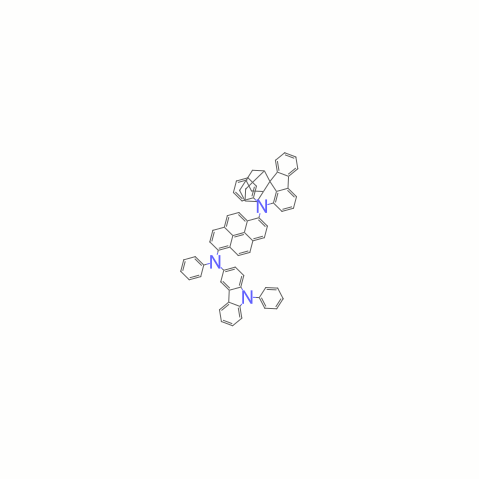 c1ccc(N(c2ccc3c(c2)c2ccccc2n3-c2ccccc2)c2ccc3ccc4c(N(c5ccccc5)c5cccc6c5C5(c7ccccc7-6)C6CC7CC(C6)CC5C7)ccc5ccc2c3c54)cc1